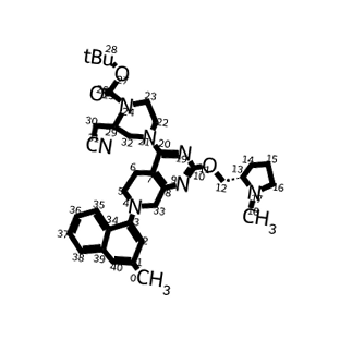 Cc1cc(N2CCc3c(nc(OC[C@@H]4CCCN4C)nc3N3CCN(C(=O)OC(C)(C)C)C(CC#N)C3)C2)c2ccccc2c1